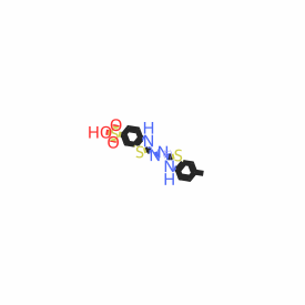 Cc1ccc2[nH]/c(=N\N=c3[nH]c4ccc(S(=O)(=O)O)cc4s3)sc2c1